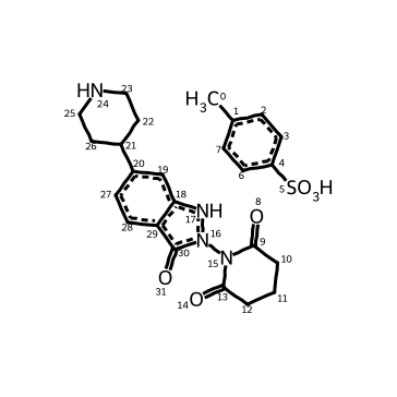 Cc1ccc(S(=O)(=O)O)cc1.O=C1CCCC(=O)N1n1[nH]c2cc(C3CCNCC3)ccc2c1=O